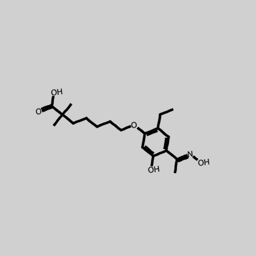 CCc1cc(C(C)=NO)c(O)cc1OCCCCCC(C)(C)C(=O)O